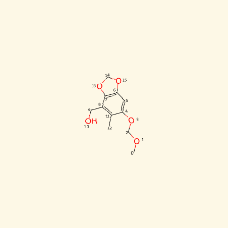 COCOc1cc2c(c(CO)c1C)OCO2